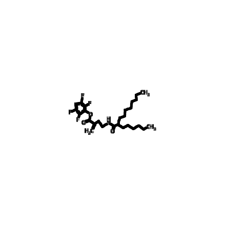 C=C(CCNC(=O)C(CCCCCC)CCCCCCCC)C(=O)Oc1c(F)c(F)cc(F)c1F